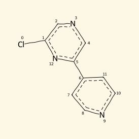 Clc1cncc(-c2ccncc2)n1